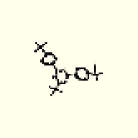 CC(C)(C)c1ccc(-c2nc(-c3ccc(C(C)(C)C)cc3)nc(C(C)(C)C)n2)cc1